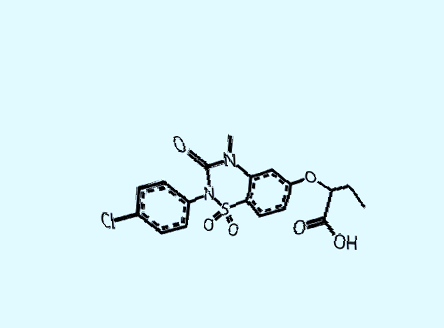 CCC(Oc1ccc2c(c1)N(C)C(=O)N(c1ccc(Cl)cc1)S2(=O)=O)C(=O)O